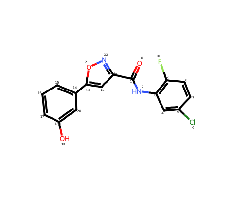 O=C(Nc1cc(Cl)ccc1F)c1cc(-c2cccc(O)c2)on1